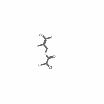 O=C(OCC(I)=C(Br)I)C(Cl)Cl